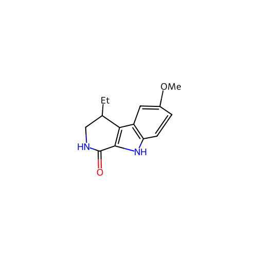 CCC1CNC(=O)c2[nH]c3ccc(OC)cc3c21